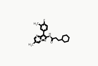 Cc1cnc2c(-c3ccc(F)c(C)c3)c(NC(=O)CCC3CCCCC3)nn2c1